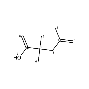 C=C(C)CC(C)(C)C(=C)O